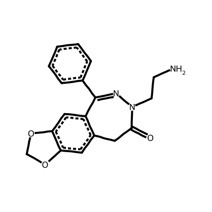 NCCN1N=C(c2ccccc2)c2cc3c(cc2CC1=O)OCO3